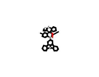 Cc1ccc2c(c1)C1(c3ccccc3Sc3ccccc31)c1cc(C)ccc1N2c1cc2c3ccccc3n3c4ccccc4c(c1)c23